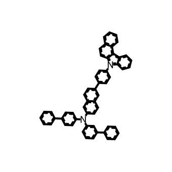 c1ccc(-c2ccc(N(c3cccc(-c4ccccc4)c3)c3ccc4cc(-c5ccc(-n6c7ccccc7c7c8ccccc8ccc76)cc5)ccc4c3)cc2)cc1